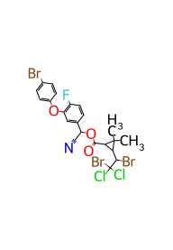 CC1(C)C(C(=O)OC(C#N)c2ccc(F)c(Oc3ccc(Br)cc3)c2)C1C(Br)C(Cl)(Cl)Br